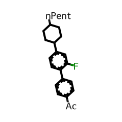 CCCCCC1CCC(c2ccc(-c3ccc(C(C)=O)cc3)c(F)c2)CC1